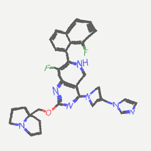 FC1=C(c2cccc3cccc(F)c23)NCc2c1nc(OCC13CCCN1CCC3)nc2N1CC(n2ccnc2)C1